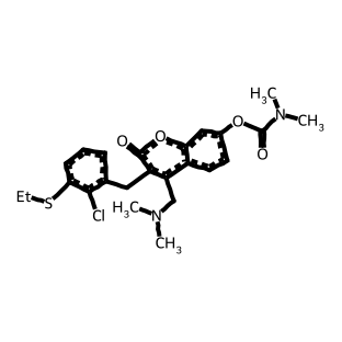 CCSc1cccc(Cc2c(CN(C)C)c3ccc(OC(=O)N(C)C)cc3oc2=O)c1Cl